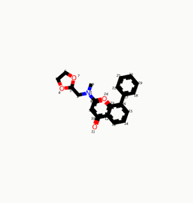 CN(CC1OCCO1)c1cc(=O)c2cccc(-c3ccccc3)c2o1